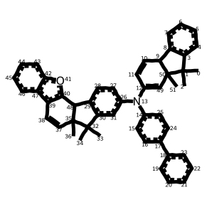 CC1(C)c2ccccc2C2C=CC(N(c3ccc(-c4ccccc4)cc3)c3ccc4c(c3)C(C)(C)C3(C)C=Cc5c(oc6ccccc56)C43)=CC21C